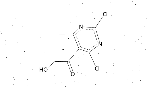 Cc1nc(Cl)nc(Cl)c1C(=O)CO